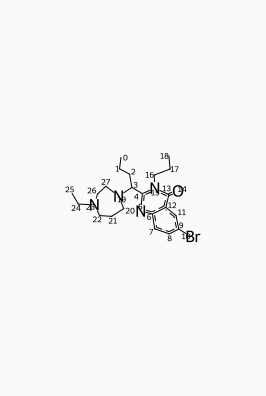 CCCC(c1nc2ccc(Br)cc2c(=O)n1CCC)N1CCCN(CC)CC1